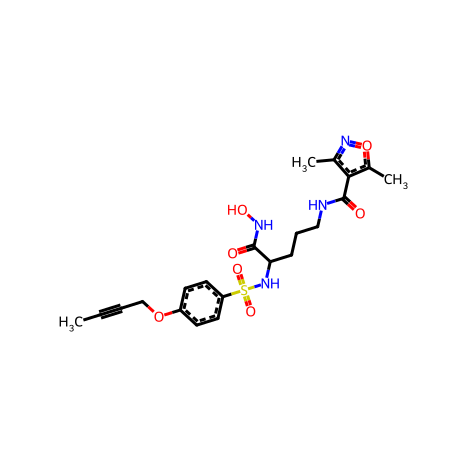 CC#CCOc1ccc(S(=O)(=O)NC(CCCNC(=O)c2c(C)noc2C)C(=O)NO)cc1